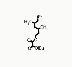 CC(C)COC(=O)C(=O)OCCC(C)CC(C)CC(C)C